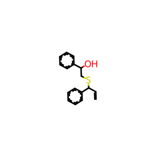 C=CC(SCC(O)c1ccccc1)c1ccccc1